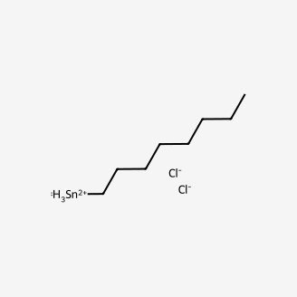 CCCCCCC[CH2][SnH3+2].[Cl-].[Cl-]